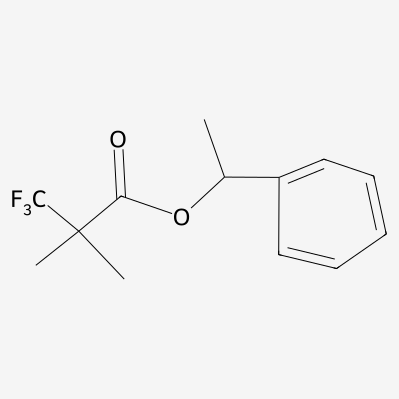 CC(OC(=O)C(C)(C)C(F)(F)F)c1ccccc1